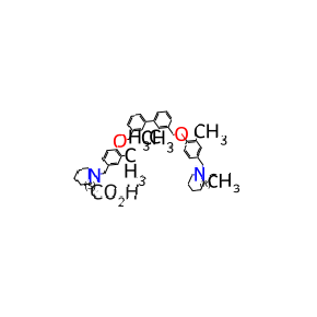 Cc1cc(CN2CCCC[C@H]2C)ccc1OCc1cccc(-c2cccc(COc3ccc(CN4CCCC[C@H]4C(=O)O)cc3C)c2C)c1C